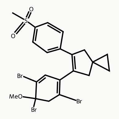 COC1(Br)CC(Br)=C(C2=C(c3ccc(S(C)(=O)=O)cc3)CC3(CC3)C2)C=C1Br